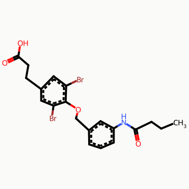 CCCC(=O)Nc1cccc(COc2c(Br)cc(CCC(=O)O)cc2Br)c1